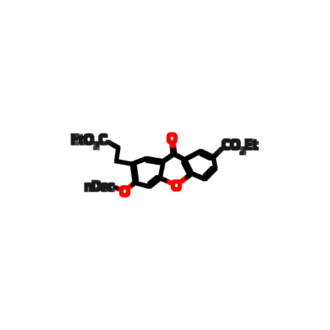 CCCCCCCCCCOc1cc2oc3ccc(C(=O)OCC)cc3c(=O)c2cc1CCC(=O)OCC